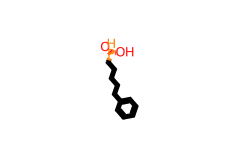 O=[PH](O)CCCCCc1ccccc1